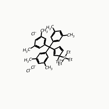 CC[Si](CC)(CC)[C]1([Ti+3])C=CC(C(c2cc(C)cc(C)c2)(c2cc(C)cc(C)c2)c2cc(C)cc(C)c2)=C1.[Cl-].[Cl-].[Cl-]